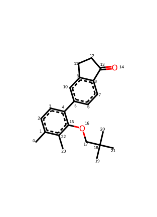 Cc1ccc(-c2ccc3c(c2)CCC3=O)c(OCC(C)(C)C)c1C